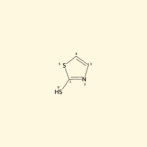 Sc1n[c]cs1